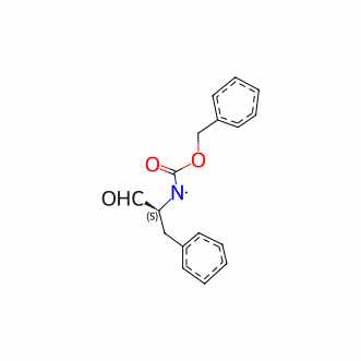 O=C[C@H](Cc1ccccc1)[N]C(=O)OCc1ccccc1